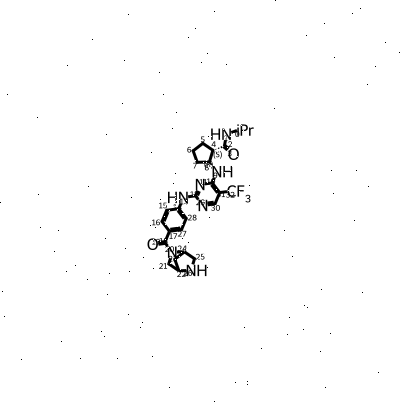 CC(C)NC(=O)[C@H]1CCC[C@H]1Nc1nc(Nc2ccc(C(=O)N3CC4CC3CN4)cc2)ncc1C(F)(F)F